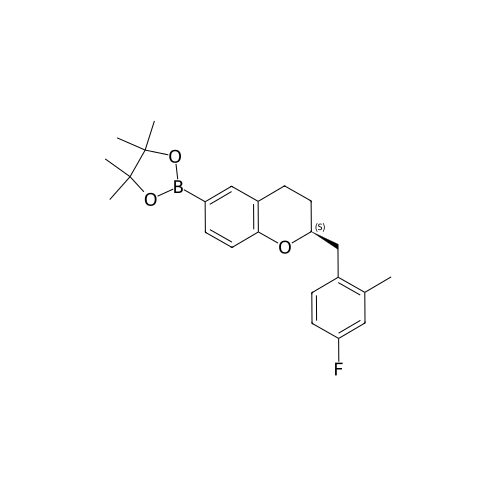 Cc1cc(F)ccc1C[C@@H]1CCc2cc(B3OC(C)(C)C(C)(C)O3)ccc2O1